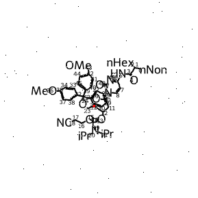 CCCCCCCCCC(CCCCCC)C(=O)Nc1ccn(C2CC(OP(OCCC#N)N(C(C)C)C(C)C)C(COC(c3ccccc3)(c3ccc(OC)cc3)c3ccc(OC)cc3)O2)c(=O)n1